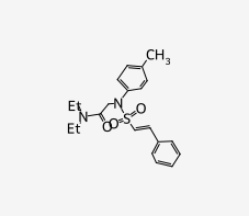 CCN(CC)C(=O)CN(c1ccc(C)cc1)S(=O)(=O)/C=C/c1ccccc1